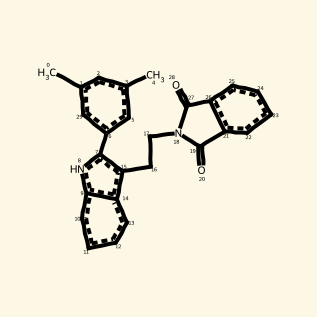 Cc1cc(C)cc(-c2[nH]c3ccccc3c2CCN2C(=O)c3ccccc3C2=O)c1